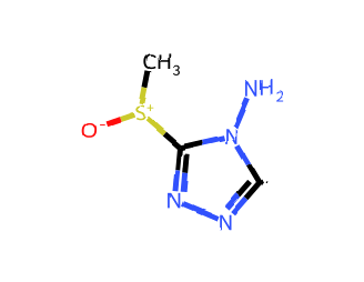 C[S+]([O-])c1nn[c]n1N